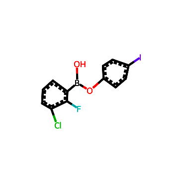 OB(Oc1ccc(I)cc1)c1cccc(Cl)c1F